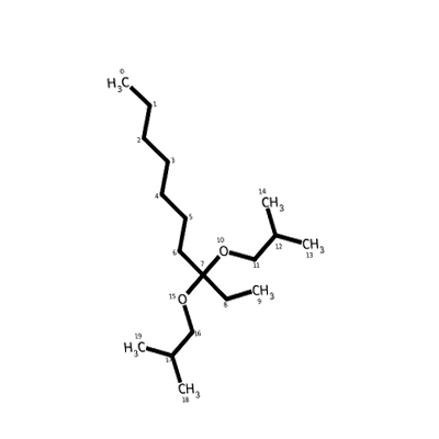 CCCCCCCC(CC)(OCC(C)C)OCC(C)C